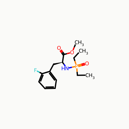 CCP(=O)(CC)N[C@@H](Cc1ccccc1F)C(=O)OC